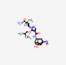 CC(C)COc1c(C(=O)NC2C3CC4(O)CC2CC(N=O)(C3)C4)cnn1/C=C/C(C)(C)C(N)=O